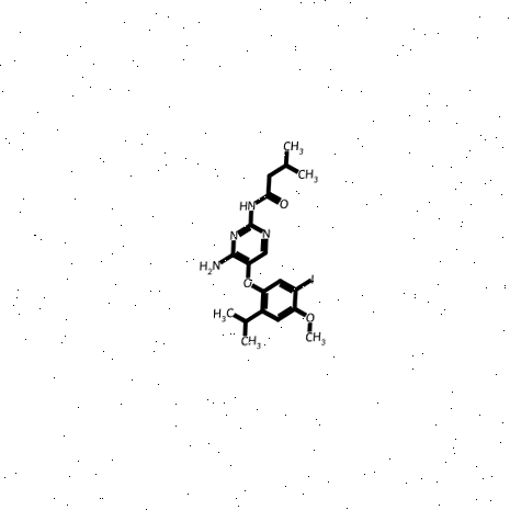 COc1cc(C(C)C)c(Oc2cnc(NC(=O)CC(C)C)nc2N)cc1I